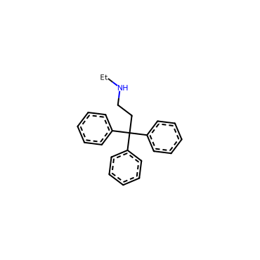 CCNCCC(c1ccccc1)(c1ccccc1)c1ccccc1